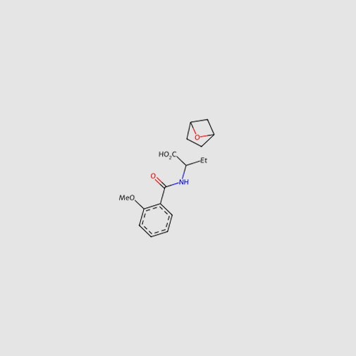 C1CC2CC1O2.CCC(NC(=O)c1ccccc1OC)C(=O)O